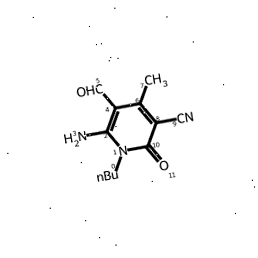 CCCCn1c(N)c(C=O)c(C)c(C#N)c1=O